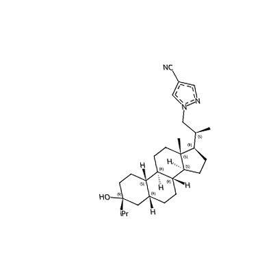 CC(C)[C@@]1(O)CC[C@H]2[C@H](CC[C@@H]3[C@@H]2CC[C@]2(C)[C@@H]([C@H](C)Cn4cc(C#N)cn4)CC[C@@H]32)C1